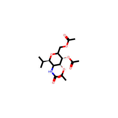 CC(=O)NC1[C@@H](C(C)C)OC(COC(C)=O)[C@H](OC(C)=O)[C@@H]1OC(C)=O